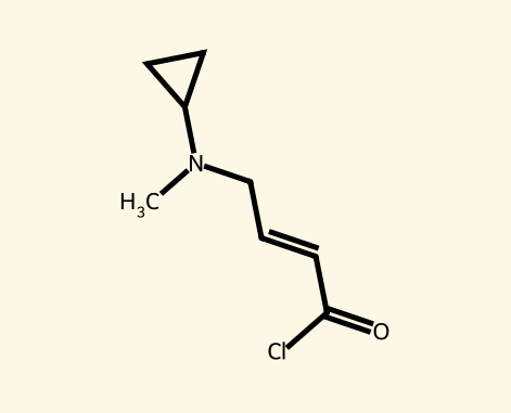 CN(C/C=C/C(=O)Cl)C1CC1